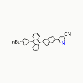 CCCCc1ccc(-c2c3ccccc3c(-c3ccc4cc(-c5cncc(C#N)c5)ccc4c3)c3ccccc23)cc1